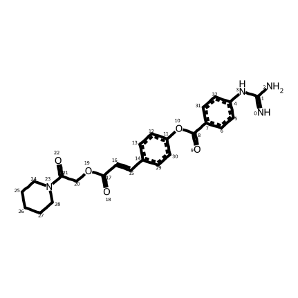 N=C(N)Nc1ccc(C(=O)Oc2ccc(/C=C/C(=O)OCC(=O)N3CCCCC3)cc2)cc1